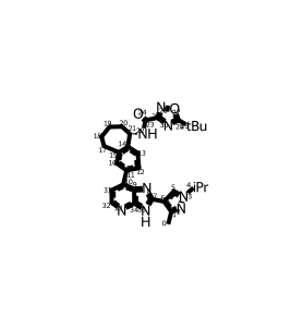 Cc1nn(C(C)C)cc1-c1nc2c(-c3ccc4c(c3)CCCC[C@@H]4NC(=O)c3noc(C(C)(C)C)n3)ccnc2[nH]1